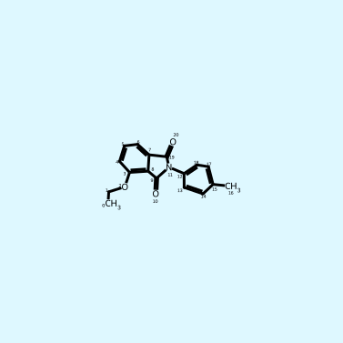 CCOc1cccc2c1C(=O)N(c1ccc(C)cc1)C2=O